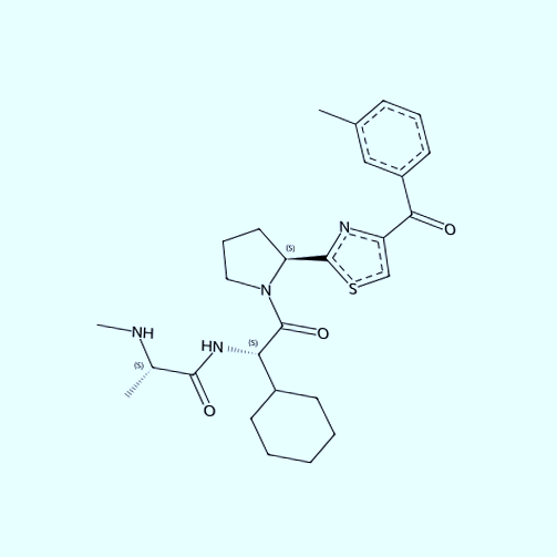 CN[C@@H](C)C(=O)N[C@H](C(=O)N1CCC[C@H]1c1nc(C(=O)c2cccc(C)c2)cs1)C1CCCCC1